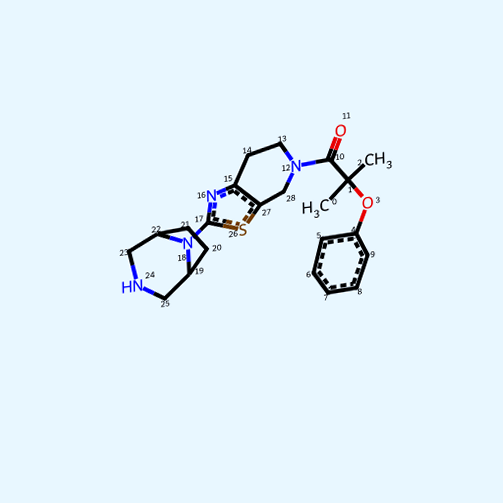 CC(C)(Oc1ccccc1)C(=O)N1CCc2nc(N3C4CCC3CNC4)sc2C1